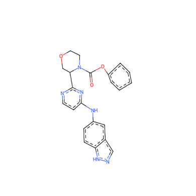 O=C(Oc1ccccc1)N1CCOCC1c1nccc(Nc2ccc3[nH]ncc3c2)n1